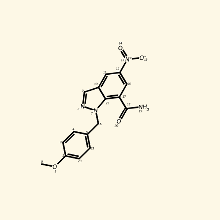 COc1ccc(Cn2ncc3cc([N+](=O)[O-])cc(C(N)=O)c32)cc1